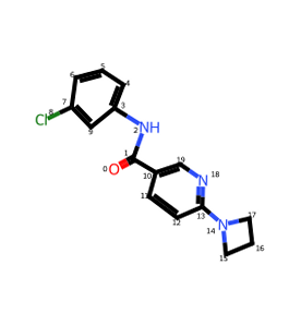 O=C(Nc1cccc(Cl)c1)c1ccc(N2CCC2)nc1